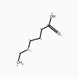 CCSCC[CH]C(=O)O